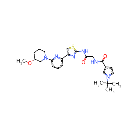 CO[C@@H]1CCCN(c2cccc(-c3csc(NC(=O)CNC(=O)c4ccn(C(C)(C)C)c4)n3)n2)C1